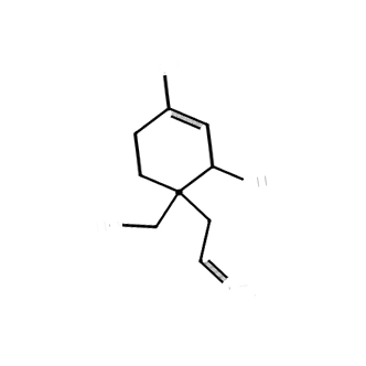 C=CCC1(CO)CCC(C)=CC1C